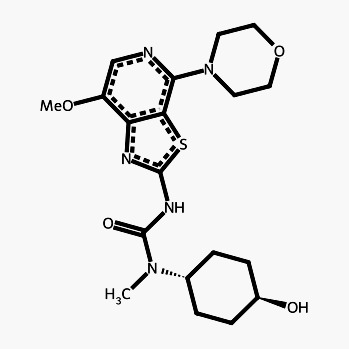 COc1cnc(N2CCOCC2)c2sc(NC(=O)N(C)[C@H]3CC[C@H](O)CC3)nc12